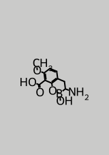 COc1ccc2c(c1C(=O)O)OB(O)C(N)C2